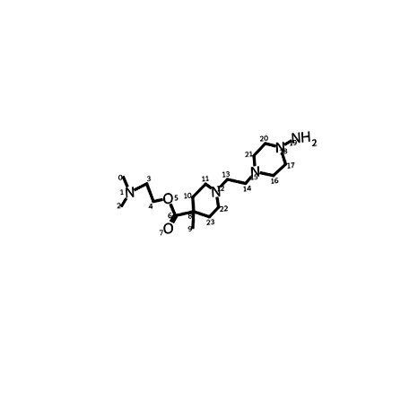 CN(C)CCOC(=O)C1(C)CCN(CCN2CCN(N)CC2)CC1